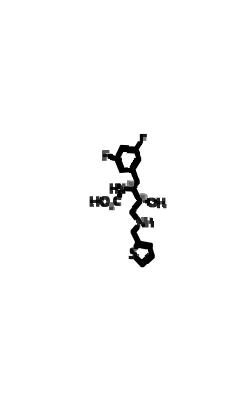 O=C(O)N[C@@H](Cc1cc(F)cc(F)c1)[C@H](O)CNCc1cccs1